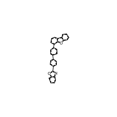 c1ccc2oc(-c3ccc(-c4ccc(-c5cccc6c5oc5ccccc56)cc4)cc3)nc2c1